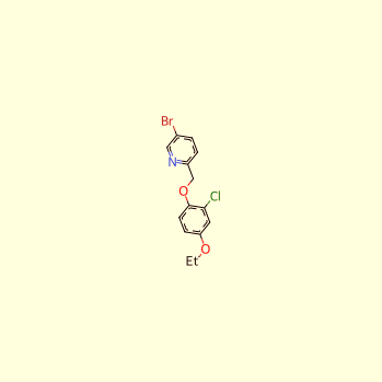 CCOc1ccc(OCc2ccc(Br)cn2)c(Cl)c1